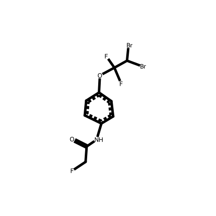 O=C(CF)Nc1ccc(OC(F)(F)C(Br)Br)cc1